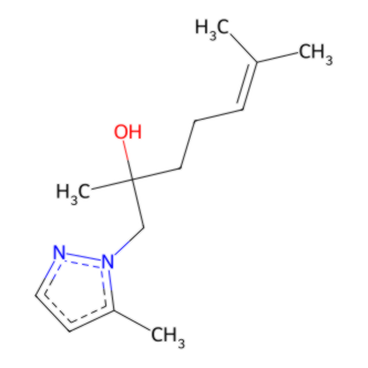 CC(C)=CCCC(C)(O)Cn1nccc1C